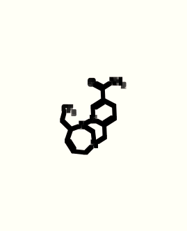 NC(=O)C1=CN2C(=CC1)CN1CC=CC(CC(F)(F)F)N2C1